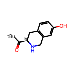 CC(C)(C)C(=O)[C@H]1Cc2ccc(O)cc2CN1